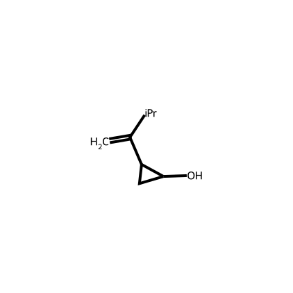 C=C(C(C)C)C1CC1O